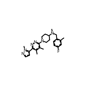 Cc1cc(F)ccc1CN(C)C1CCN(c2nnc(-c3ccnn3C)c(C)c2C)CC1